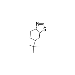 CC(C)(C)C1CCC2N=CSC2C1